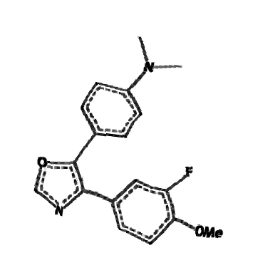 COc1ccc(-c2ncoc2-c2ccc(N(C)C)cc2)cc1F